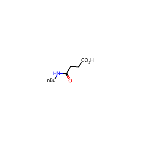 [CH2]CCCNC(=O)CCC(=O)O